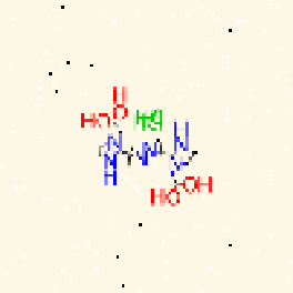 CC(C)(N=NC(C)(C)C1NCCN1CC(O)O)C1NCCN1CC(O)O.Cl.Cl